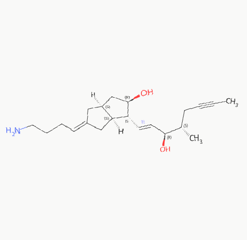 CC#CC[C@H](C)[C@@H](O)/C=C/[C@@H]1[C@H]2CC(=CCCCN)C[C@H]2C[C@H]1O